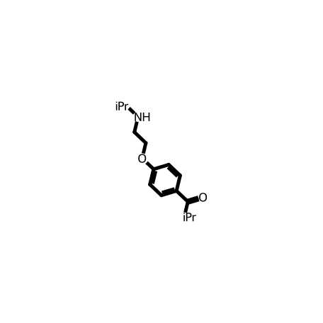 CC(C)NCCOc1ccc(C(=O)C(C)C)cc1